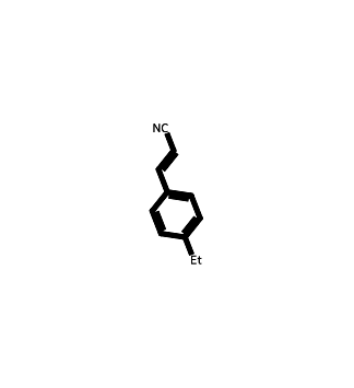 CCc1ccc(/C=C/C#N)cc1